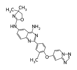 Cc1cc(-c2nc(N)c3cc(NC4=NC(C)(C)CO4)ccc3n2)ccc1Oc1ccn2ncnc2c1